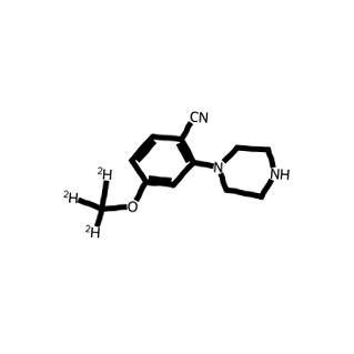 [2H]C([2H])([2H])Oc1ccc(C#N)c(N2CCNCC2)c1